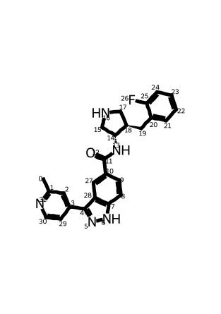 Cc1cc(-c2n[nH]c3ccc(C(=O)N[C@@H]4CNC[C@H]4Cc4ccccc4F)cc23)ccn1